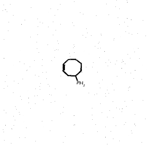 PC1C/C=C\CCCC1